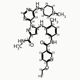 CNC(=O)c1cc(Nc2cc(NC(=O)c3ccc(OCF)nc3)ccc2C)n(-c2cc(NN3CCN(C)CC3)ncn2)n1